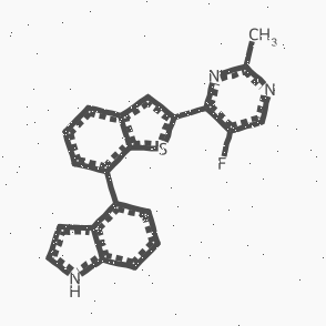 Cc1ncc(F)c(-c2cc3cccc(-c4cccc5[nH]ccc45)c3s2)n1